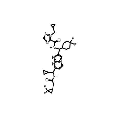 O=C(C[C@H]1CC1(F)F)NC(c1ccn2cc(C(NC(=O)c3ncnn3CC3CC3)C3CCC(F)(F)CC3)nc2n1)C1CC1